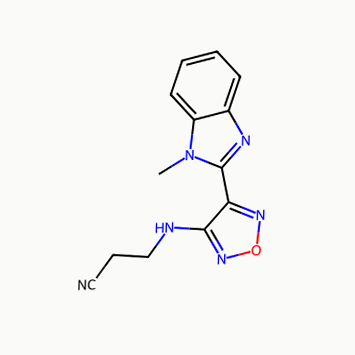 Cn1c(-c2nonc2NCCC#N)nc2ccccc21